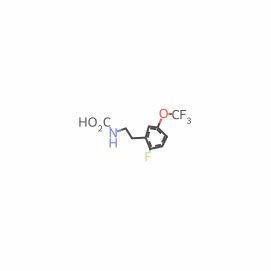 O=C(O)NCCc1cc(OC(F)(F)F)ccc1F